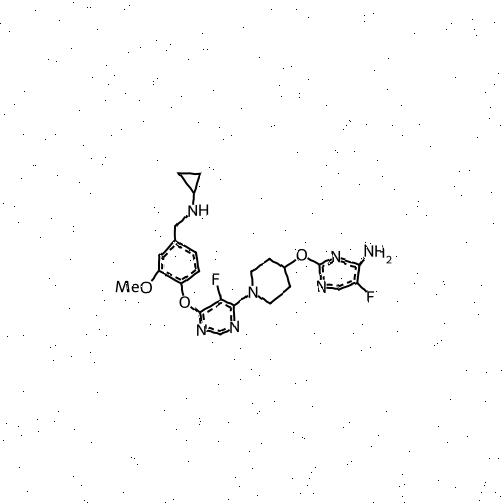 COc1cc(CNC2CC2)ccc1Oc1ncnc(N2CCC(Oc3ncc(F)c(N)n3)CC2)c1F